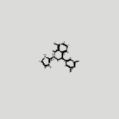 Cc1cc(C)cc(C(CNC2=NCCS2)c2cccc(C)c2C)c1